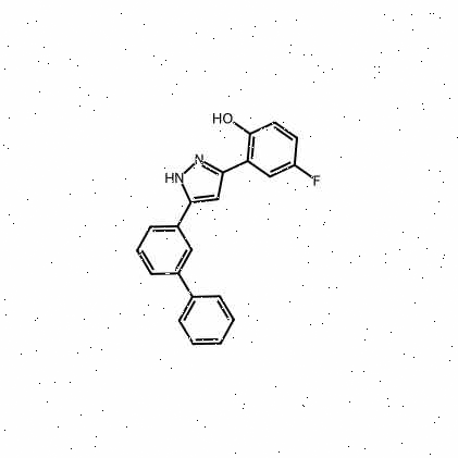 Oc1ccc(F)cc1-c1cc(-c2cccc(-c3ccccc3)c2)[nH]n1